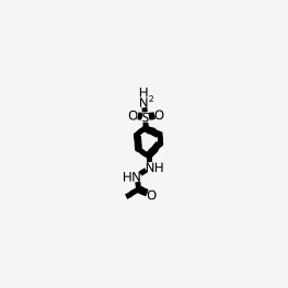 CC(=O)NNc1ccc(S(N)(=O)=O)cc1